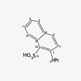 CCCc1ccc2ccccc2c1S(=O)(=O)O